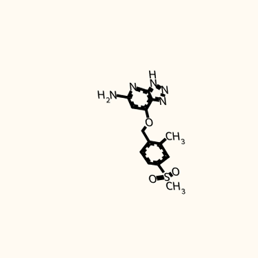 Cc1cc(S(C)(=O)=O)ccc1COc1cc(N)nc2[nH]nnc12